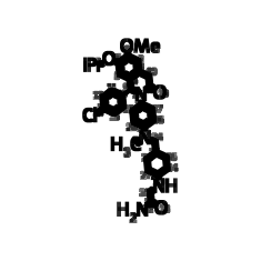 COc1cc2c(cc1OC(C)C)[C@H](c1ccc(Cl)cc1)N(c1ccc(N(C)CC3CCC(NCC(N)=O)CC3)cc1)C(=O)C2